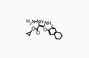 NN/C(C(=O)OC1CC1)=C(\N)Oc1ccc2c(c1)CCCC2